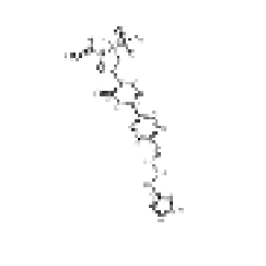 CC(CCn1ccc(-c2ccc(OCCCn3cncn3)cc2)cc1=O)(C(=O)NO)S(C)(=O)=O